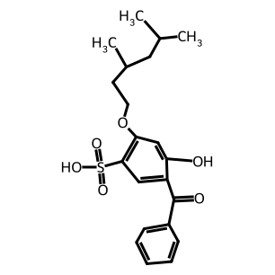 CC(C)CC(C)CCOc1cc(O)c(C(=O)c2ccccc2)cc1S(=O)(=O)O